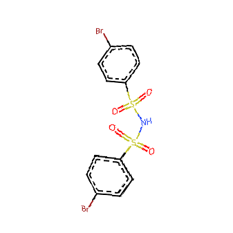 O=S(=O)(NS(=O)(=O)c1ccc(Br)cc1)c1ccc(Br)cc1